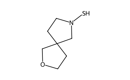 SN1CCC2(CCOC2)C1